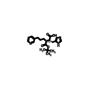 CC(C)(C)OC(=O)N(CCCc1cccnc1)[C@@H](Cc1cnc[nH]1)C(=O)O